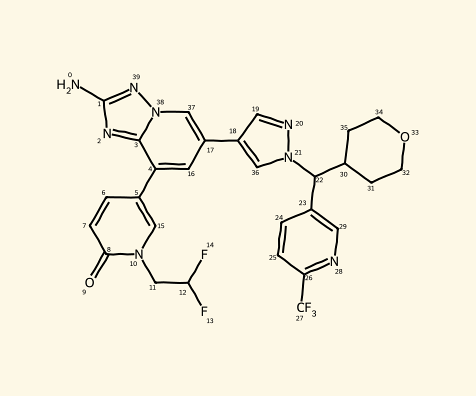 Nc1nc2c(-c3ccc(=O)n(CC(F)F)c3)cc(-c3cnn(C(c4ccc(C(F)(F)F)nc4)C4CCOCC4)c3)cn2n1